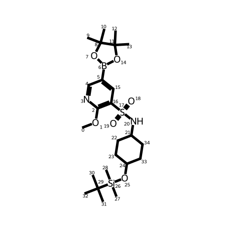 COc1ncc(B2OC(C)(C)C(C)(C)O2)cc1S(=O)(=O)NC1CCC(O[Si](C)(C)C(C)(C)C)CC1